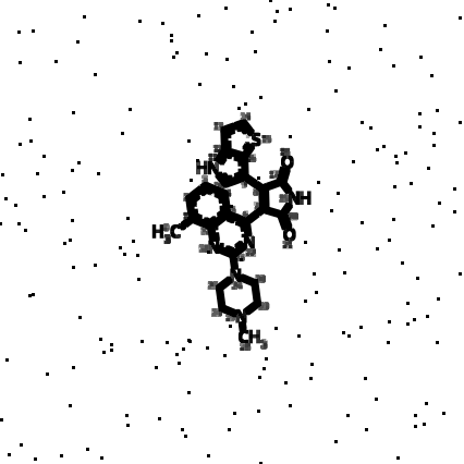 Cc1cccc2c(C3=C(c4c[nH]c5ccsc45)C(=O)NC3=O)nc(N3CCN(C)CC3)nc12